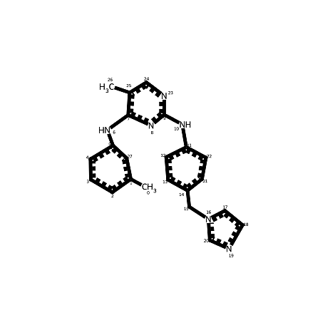 Cc1cccc(Nc2nc(Nc3ccc(Cn4ccnc4)cc3)ncc2C)c1